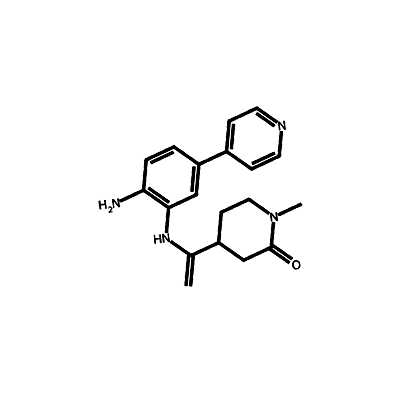 C=C(Nc1cc(-c2ccncc2)ccc1N)C1CCN(C)C(=O)C1